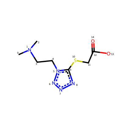 CN(C)CCn1nnnc1SCC([O])=O